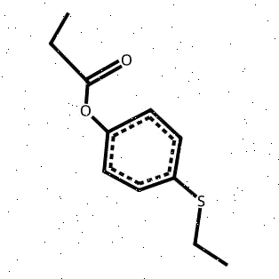 CCSc1ccc(OC(=O)CC)cc1